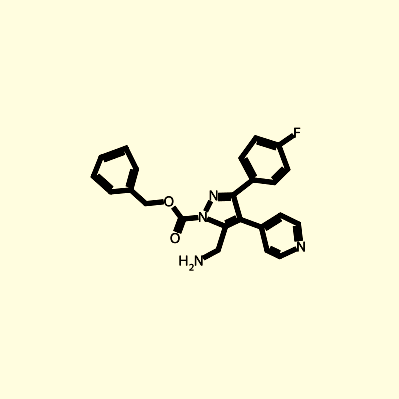 NCc1c(-c2ccncc2)c(-c2ccc(F)cc2)nn1C(=O)OCc1ccccc1